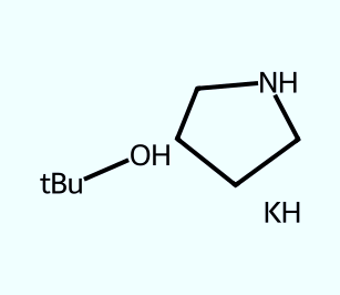 C1CCNC1.CC(C)(C)O.[KH]